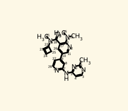 Cc1nccc(Nc2cc(-c3cnc(N(C)C)c(C(=O)N(C)C4=C=CC4)c3)ccn2)n1